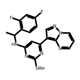 CSc1nc(NC(C)c2ccc(F)cc2F)cc(-c2cnn3cccnc23)n1